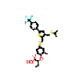 CCC(Oc1ccc(SCc2sc(-c3ccc(C(F)(F)F)cc3)cc2CSC(C)C)cc1C)C(=O)O